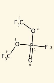 O=P(F)(OC(F)(F)F)OC(F)(F)F